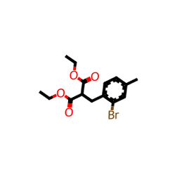 CCOC(=O)C(Cc1ccc(C)cc1Br)C(=O)OCC